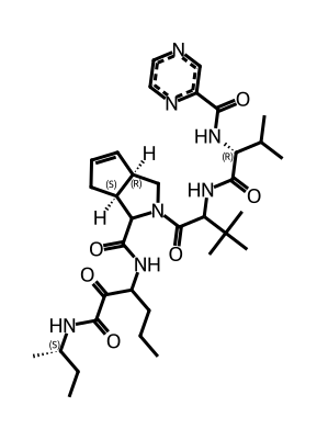 CCCC(NC(=O)C1[C@H]2CC=C[C@H]2CN1C(=O)C(NC(=O)[C@H](NC(=O)c1cnccn1)C(C)C)C(C)(C)C)C(=O)C(=O)N[C@@H](C)CC